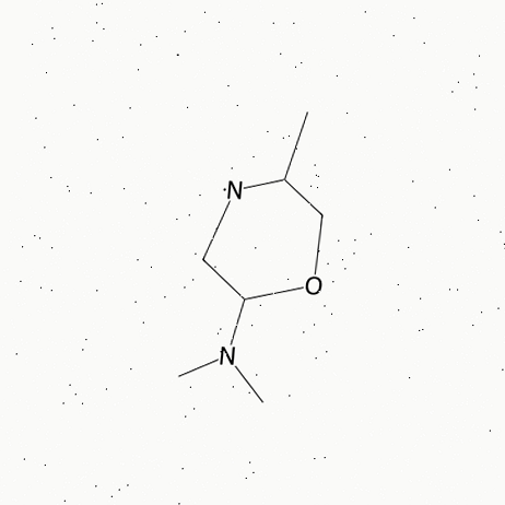 CC1COC(N(C)C)C[N]1